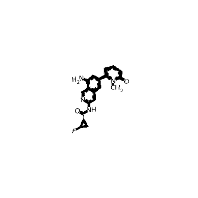 Cn1c(-c2cc(N)c3cnc(NC(=O)[C@@H]4CC4F)cc3c2)cccc1=O